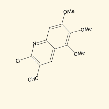 COc1cc2nc(Cl)c(C=O)cc2c(OC)c1OC